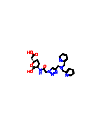 O=C(O)C[C@@H]1CC[C@H](NC(=O)Cn2cc(CN(Cc3ccccn3)Cc3ccccn3)nn2)B(O)O1